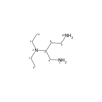 CCN(CC)C(CN)CCN